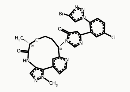 C[C@@H]1CCC[C@H](n2cnc(-c3cc(Cl)ccc3-n3cc(Br)nn3)cc2=O)c2cc(ccn2)-c2c(cnn2C)NC1=O